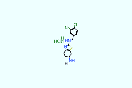 CCNC1CCc2nc(NCc3ccc(Cl)c(Cl)c3)sc2C1.Cl.Cl